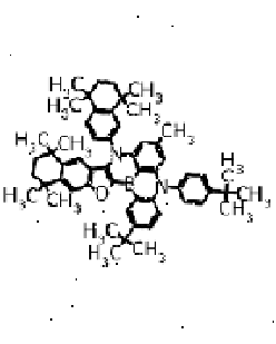 Cc1cc2c3c(c1)N(c1ccc4c(c1)C(C)(C)CCC4(C)C)c1c(oc4cc5c(cc14)C(C)(C)CCC5(C)C)B3c1cc(C(C)(C)C)ccc1N2c1ccc(C(C)(C)C)cc1